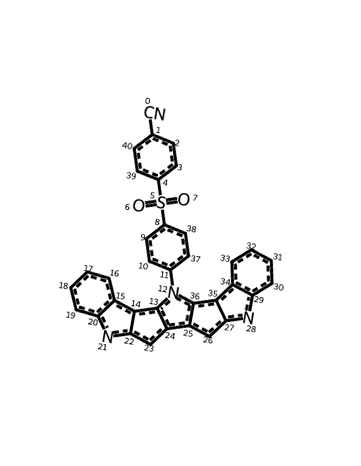 N#Cc1ccc(S(=O)(=O)c2ccc(-n3c4c5c6ccccc6nc-5cc4c4cc5nc6ccccc6c-5c43)cc2)cc1